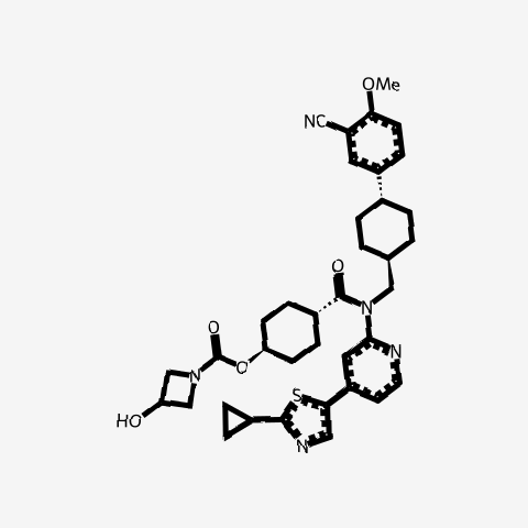 COc1ccc([C@H]2CC[C@H](CN(c3cc(-c4cnc(C5CC5)s4)ccn3)C(=O)[C@H]3CC[C@H](OC(=O)N4CC(O)C4)CC3)CC2)cc1C#N